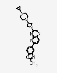 Cc1nc2cc(-c3ccc4ncc(N5CC(N6CCN(C7CC7)CC6)C5)nc4n3)ccc2o1